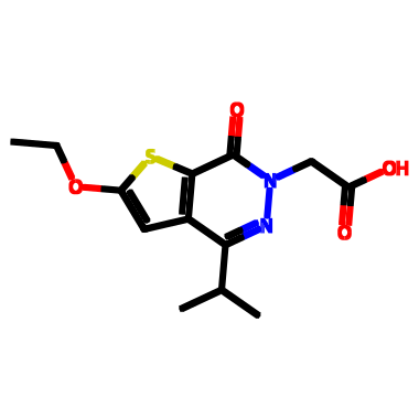 CCOc1cc2c(C(C)C)nn(CC(=O)O)c(=O)c2s1